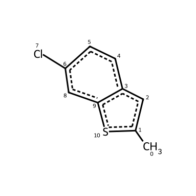 Cc1cc2ccc(Cl)cc2s1